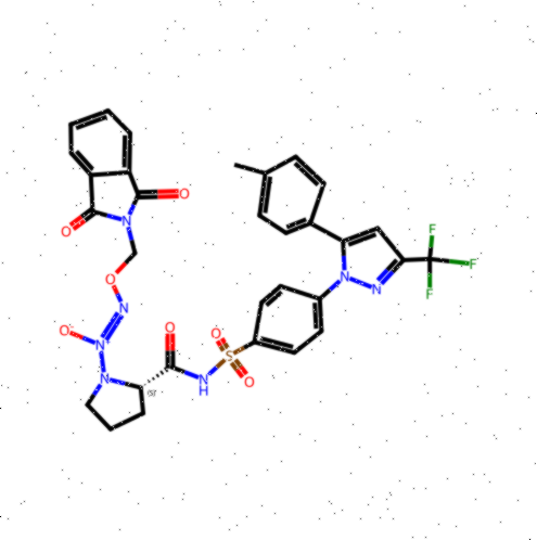 Cc1ccc(-c2cc(C(F)(F)F)nn2-c2ccc(S(=O)(=O)NC(=O)[C@@H]3CCCN3[N+]([O-])=NOCN3C(=O)c4ccccc4C3=O)cc2)cc1